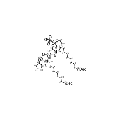 CCCCCCCCCCCCCCCCCC[N+]1(CN2CCCC2=O)C=COC=C1.CCCCCCCCCCCCCCCCCC[N+]1(CN2CCCC2=O)C=COC=C1.O=S(=O)([O-])[O-]